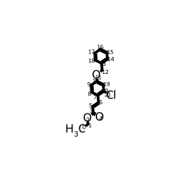 CCOC(=O)/C=C/c1ccc(OCc2ccccc2)cc1Cl